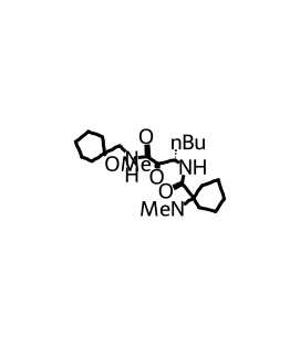 CCCC[C@H](NC(=O)C1(NC)CCCCC1)C(=O)C(=O)NCC1(OC)CCCCC1